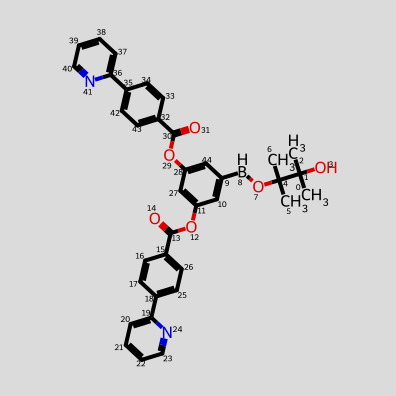 CC(C)(O)C(C)(C)OBc1cc(OC(=O)c2ccc(-c3ccccn3)cc2)cc(OC(=O)c2ccc(-c3ccccn3)cc2)c1